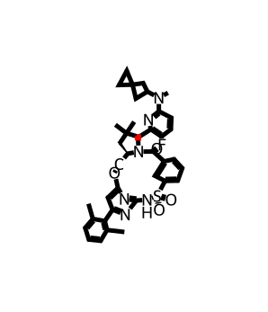 Cc1cccc(C)c1-c1cc2nc(n1)NS(=O)(=O)c1cccc(c1)C(=O)N(Cc1nc(N(C)C3CC4(CC4)C3)ccc1F)[C@H](CC(C)(C)C)CO2